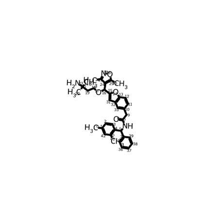 Cc1ccc(C(NC(=O)Cc2ccc3oc(C(OCCC(C)(C)N)c4c(C)noc4C)cc3c2)c2ccccc2)c(C)c1